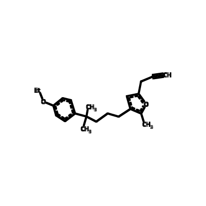 C#CCc1cc(CCCC(C)(C)c2ccc(OCC)cc2)c(C)o1